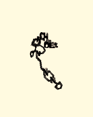 CCOC1CCN(CCCN2CCN(c3ccccc3)CC2)C(=O)c2ccn(C)c21